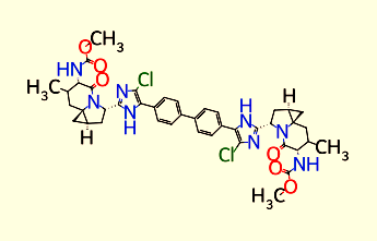 COC(=O)N[C@@H]1C(=O)N2[C@H](c3nc(Cl)c(-c4ccc(-c5ccc(-c6[nH]c([C@@H]7C[C@H]8C[C@]89CC(C)[C@H](NC(=O)OC)C(=O)N79)nc6Cl)cc5)cc4)[nH]3)C[C@H]3C[C@]32CC1C